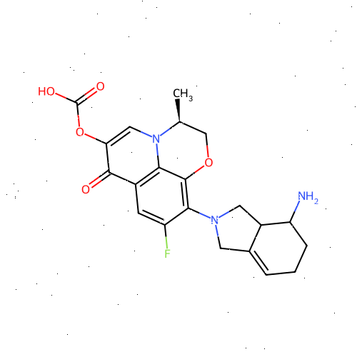 C[C@H]1COc2c(N3CC4=CCCC(N)C4C3)c(F)cc3c(=O)c(OC(=O)O)cn1c23